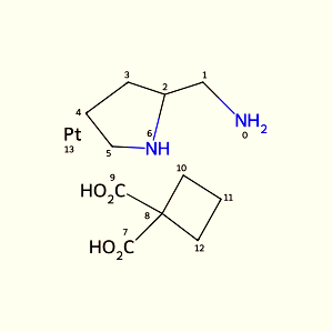 NCC1CCCN1.O=C(O)C1(C(=O)O)CCC1.[Pt]